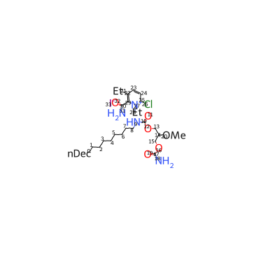 CCCCCCCCCCCCCCCCCCNC(=O)OCC(COC(N)=O)OC.CCc1ccc(Cl)[n+](CC)c1C(N)=O.[I-]